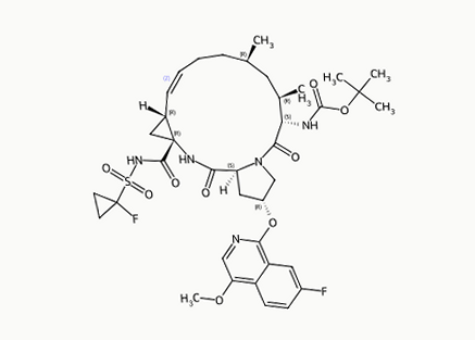 COc1cnc(O[C@@H]2C[C@H]3C(=O)N[C@]4(C(=O)NS(=O)(=O)C5(F)CC5)C[C@@H]4/C=C\CC[C@@H](C)C[C@@H](C)[C@H](NC(=O)OC(C)(C)C)C(=O)N3C2)c2cc(F)ccc12